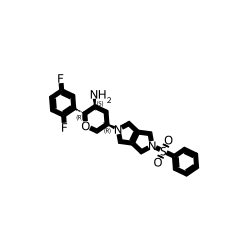 N[C@H]1C[C@@H](N2CC3=C(C2)CN(S(=O)(=O)c2ccccc2)C3)CO[C@@H]1c1cc(F)ccc1F